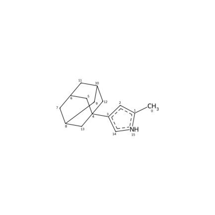 Cc1cc(C23CC4CC(CC(C4)C2)C3)c[nH]1